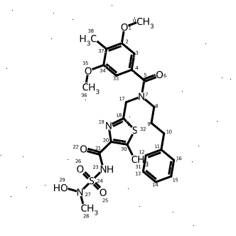 COc1cc(C(=O)N(CCCc2ccccc2)Cc2nc(C(=O)NS(=O)(=O)N(C)O)c(C)s2)cc(OC)c1C